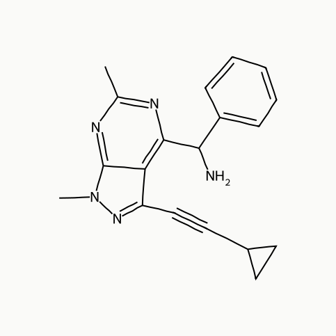 Cc1nc(C(N)c2ccccc2)c2c(C#CC3CC3)nn(C)c2n1